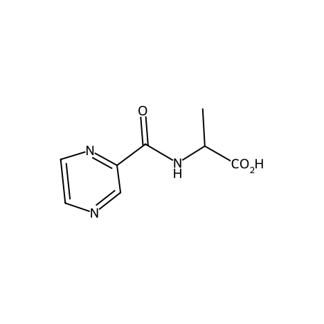 CC(NC(=O)c1cnccn1)C(=O)O